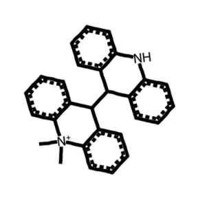 C[N+]1(C)c2ccccc2C(C2c3ccccc3Nc3ccccc32)c2ccccc21